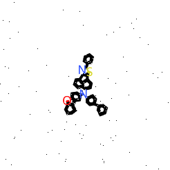 c1ccc(-c2ccc(N(c3ccc4oc5ccccc5c4c3)c3ccc4c5c(cccc35)-c3nc(-c5ccccc5)sc3-4)cc2)cc1